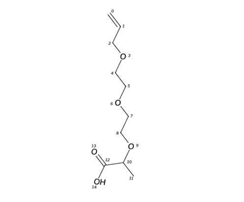 C=CCOCCOCCOC(C)C(=O)O